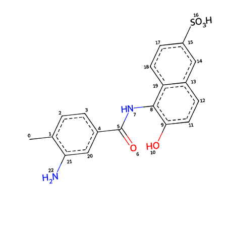 Cc1ccc(C(=O)Nc2c(O)ccc3cc(S(=O)(=O)O)ccc23)cc1N